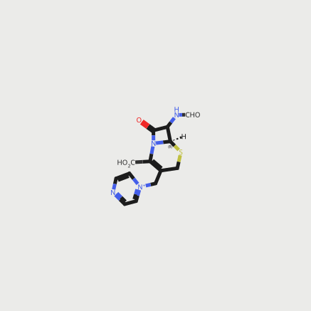 O=CNC1C(=O)N2C(C(=O)O)=C(C[n+]3ccncc3)CS[C@H]12